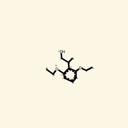 [CH2]C(CO)c1c(OCC)cccc1OCC